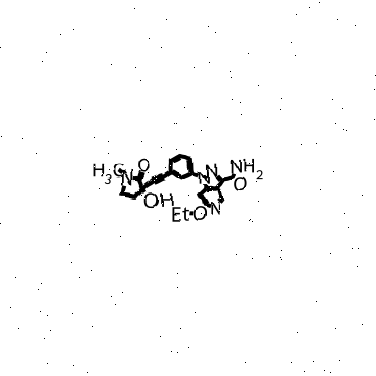 CCOc1cc2c(cn1)c(C(N)=O)nn2-c1cccc(C#CC2(O)CCN(C)C2=O)c1